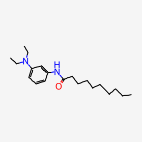 CCCCCCCCCC(=O)Nc1cccc(N(CC)CC)c1